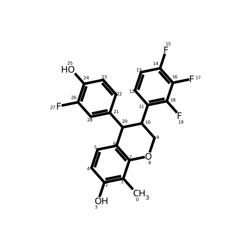 Cc1c(O)ccc2c1OCC(c1ccc(F)c(F)c1F)C2c1ccc(O)c(F)c1